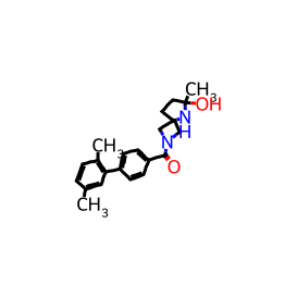 Cc1ccc(C)c(-c2ccc(C(=O)N3CC4(CCC(C)(O)N4)C3)cc2)c1